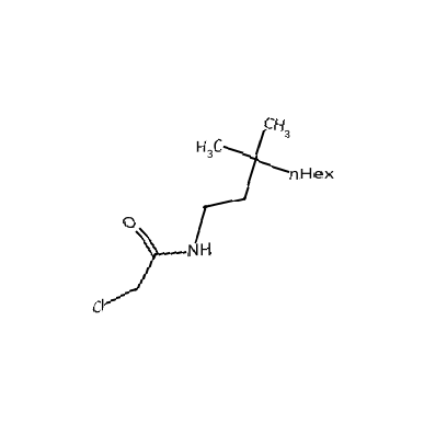 CCCCCCC(C)(C)CCNC(=O)CCl